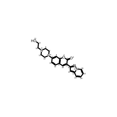 O=c1oc2cc(N3CCN(CCO)CC3)ccc2cc1-c1cc2ccccn2n1